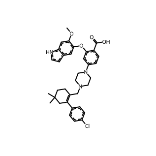 COc1cc2[nH]ccc2cc1Oc1cc(N2CCN(CC3=C(c4ccc(Cl)cc4)CC(C)(C)CC3)CC2)ccc1C(=O)O